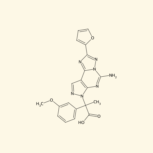 COc1cccc(C(C)(C(=O)O)n2ncc3c2nc(N)n2nc(-c4ccco4)nc32)c1